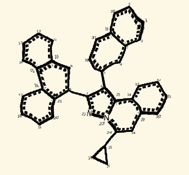 c1ccc2cc(-c3c(-c4cc5ccccc5c5ccccc45)nn4c(C5CC5)cc5ccccc5c34)ccc2c1